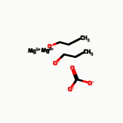 CCC[O-].CCC[O-].O=C([O-])[O-].[Mg+2].[Mg+2]